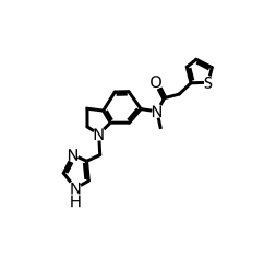 CN(C(=O)Cc1cccs1)c1ccc2c(c1)N(Cc1c[nH]cn1)CC2